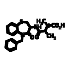 C[C@@H](C(=O)NC1CSc2ccccc2N(Cc2ccccc2)C1=O)N(C)C(=O)O